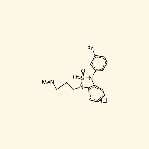 CNCCCN1c2ccccc2N(c2cccc(Br)c2)S1(=O)=O.Cl